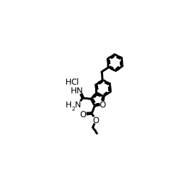 CCOC(=O)c1oc2ccc(Cc3ccccc3)cc2c1C(=N)N.Cl